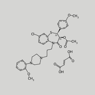 COc1ccc([C@@H]2Sc3cc(Cl)ccc3N(CCCN3CCN(c4ccccc4OC)CC3)C(=O)[C@@H]2OC(C)=O)cc1.O=C(O)C=CC(=O)O